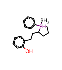 B[PH]1(c2ccccc2)CCCC1CCc1ccccc1O